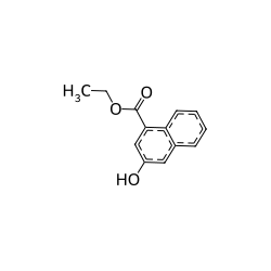 CCOC(=O)c1cc(O)cc2ccccc12